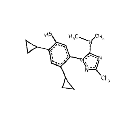 CN(C)c1nc(C(F)(F)F)nn1-c1cc(S)c(C2CC2)cc1C1CC1